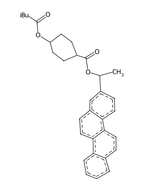 CCC(C)C(=O)OC1CCC(C(=O)OC(C)c2ccc3c(ccc4c5ccccc5ccc34)c2)CC1